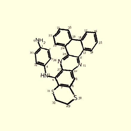 Nc1ccc(Nc2c3c(cc4nc5c6ccccc6c6ccccc6c5nc24)SCCS3)cc1